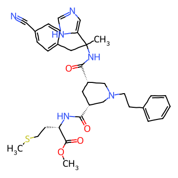 COC(=O)[C@H](CCSC)NC(=O)[C@@H]1C[C@H](C(=O)NC(C)(Cc2ccc(C#N)cc2)c2cnc[nH]2)CN(CCc2ccccc2)C1